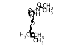 CCCC(C)(CC)CCCOCCN1CCO[C@H](CNC(=O)C(C)C)C1